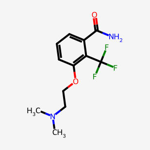 CN(C)CCOc1cccc(C(N)=O)c1C(F)(F)F